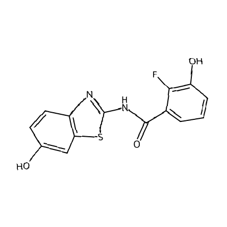 O=C(Nc1nc2ccc(O)cc2s1)c1cccc(O)c1F